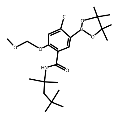 COCOc1cc(Cl)c(B2OC(C)(C)C(C)(C)O2)cc1C(=O)NC(C)(C)CC(C)(C)C